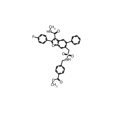 CNC(=O)c1c(-c2ccc(F)cc2)oc2cc(CS(=O)(=O)NCc3ccc(C(=O)OC)cc3)c(-c3ccccc3)cc12